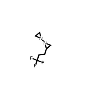 FC(F)(F)CCC1CN1N1CC1